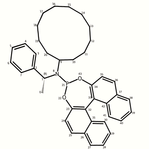 C[C@H](c1ccccc1)N(C1CCCCCCCCCCC1)p1oc2ccc3ccccc3c2c2c(ccc3ccccc32)o1